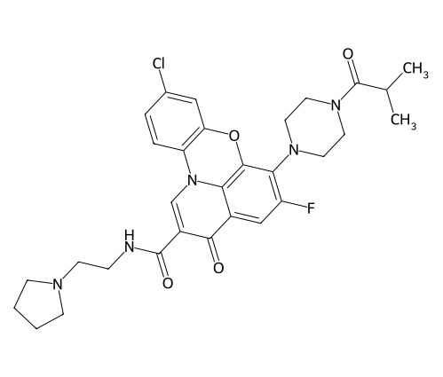 CC(C)C(=O)N1CCN(c2c(F)cc3c(=O)c(C(=O)NCCN4CCCC4)cn4c3c2Oc2cc(Cl)ccc2-4)CC1